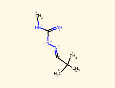 CNC(=N)N/N=C/C(C)(C)C